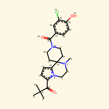 CN1CCn2c(C(=O)C(C)(C)C)ccc2C12CCN(C(=O)c1ccc(O)c(Cl)c1)CC2